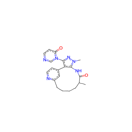 CC1CCCCc2cc(ccn2)-c2c(-n3cnccc3=O)nn(C)c2NC1=O